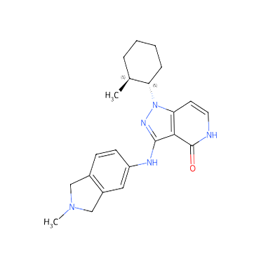 C[C@H]1CCCC[C@@H]1n1nc(Nc2ccc3c(c2)CN(C)C3)c2c(=O)[nH]ccc21